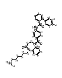 Cc1ccc(-c2ccccc2C(=O)Nc2ccc(C(=O)N3CCC(=O)N(CCCCCCN(C)C)c4ccccc43)cc2)cc1